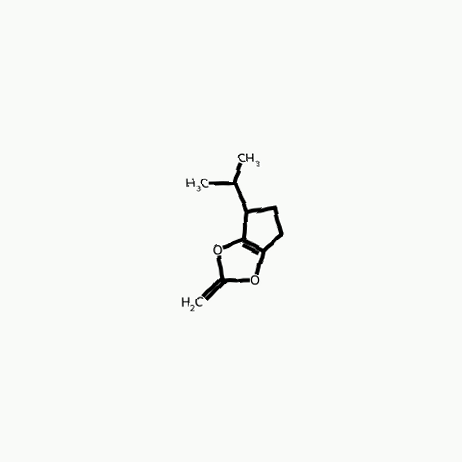 C=C1OC2=C(O1)C(C(C)C)CC2